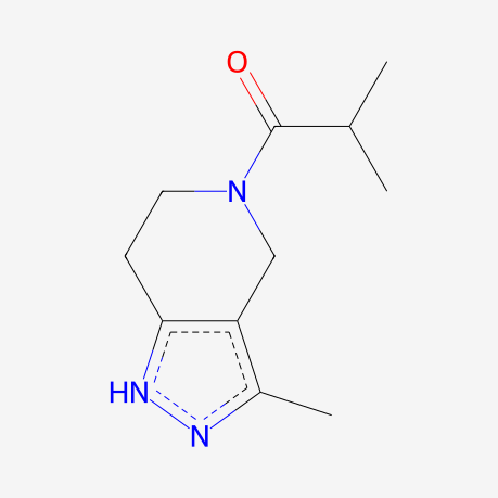 Cc1n[nH]c2c1CN(C(=O)C(C)C)CC2